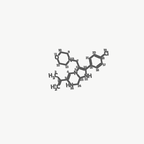 C=C(C)C1=CN2C(CN3CCOCC3)=C(c3ccc(Cl)cc3)NC2CN1